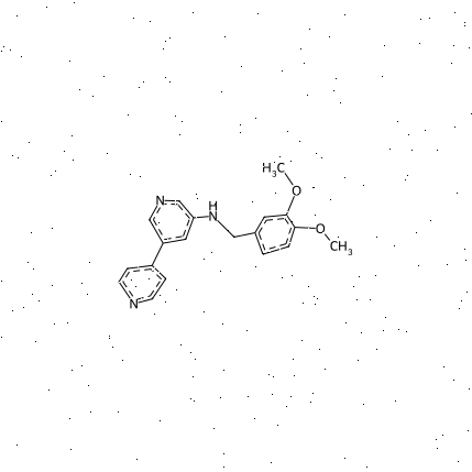 COc1ccc(CNc2cncc(-c3ccncc3)c2)cc1OC